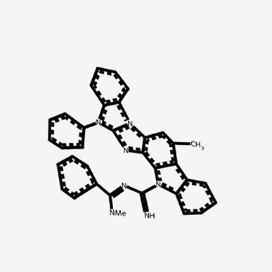 CN/C(=N\C(=N)n1c2ccccc2c2c(C)cc3c(nc4n(-c5ccccc5)c5ccccc5n34)c21)c1ccccc1